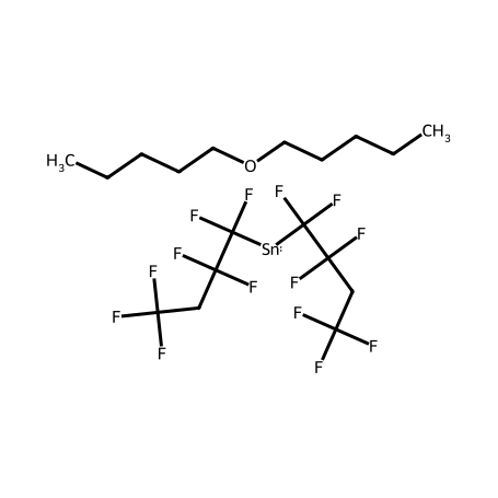 CCCCCOCCCCC.FC(F)(F)CC(F)(F)[C](F)(F)[Sn][C](F)(F)C(F)(F)CC(F)(F)F